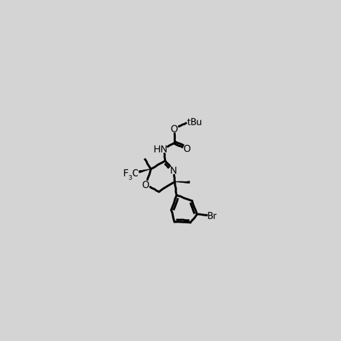 CC(C)(C)OC(=O)NC1=N[C@](C)(c2cccc(Br)c2)CO[C@@]1(C)C(F)(F)F